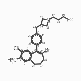 Cc1cc2c(cc1Cl)C(c1ccc(CC3CN(CCCF)C3)cc1)=C(Br)CCC2